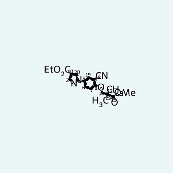 CCOC(=O)c1cnn(-c2ccc(OCC(C)(C)C(=O)OC)c(C#N)c2)c1